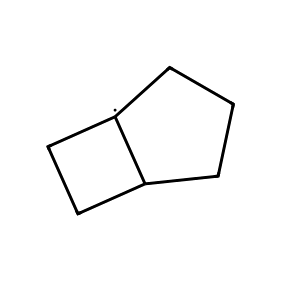 C1C[C]2CCC2C1